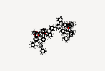 c1ccc(-c2nc(-c3cccc(-c4cccc5c4c4ccccc4n5-c4ccc(-c5nc(-c6ccccc6)nc(-c6ccccc6)n5)c(-c5cccc6c5sc5ccccc56)c4-n4c5ccccc5c5ccccc54)c3)nc(-c3ccc(-n4c5ccccc5c5ccccc54)c(-n4c5ccccc5c5ccccc54)c3-c3cccc4c3oc3ccccc34)n2)cc1